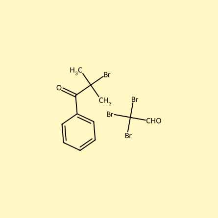 CC(C)(Br)C(=O)c1ccccc1.O=CC(Br)(Br)Br